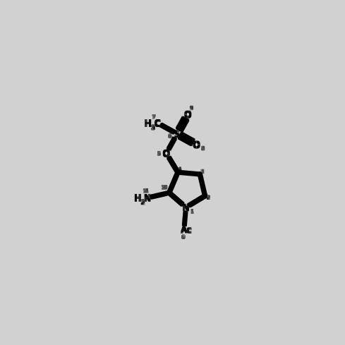 CC(=O)N1CCC(OS(C)(=O)=O)C1N